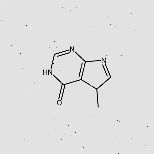 CC1C=Nc2nc[nH]c(=O)c21